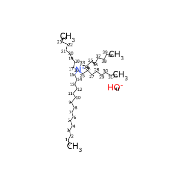 CCCCCCCCCCCCCCCC[N+](CCCCCCCC)(CCCCCCCC)CCCCCCCC.[OH-]